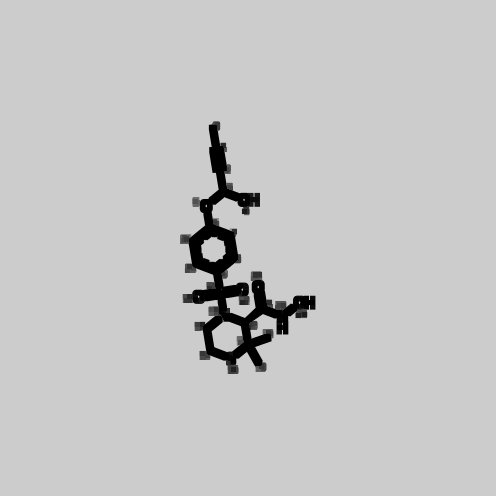 CC#CC(O)Oc1ccc(S(=O)(=O)N2CCSC(C)(C)[C@@H]2C(=O)NO)cc1